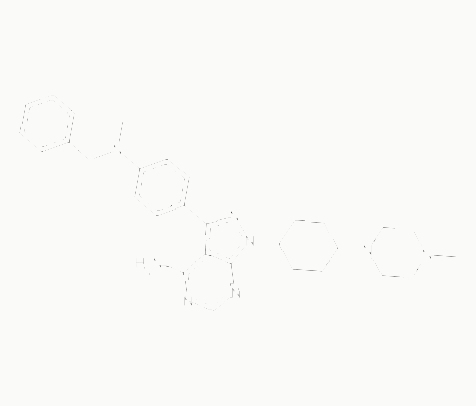 CN1CCN([C@H]2CC[C@@H](n3nc(-c4ccc(N(C)Cc5ccccc5)cc4)c4c(N)ncnc43)CC2)CC1